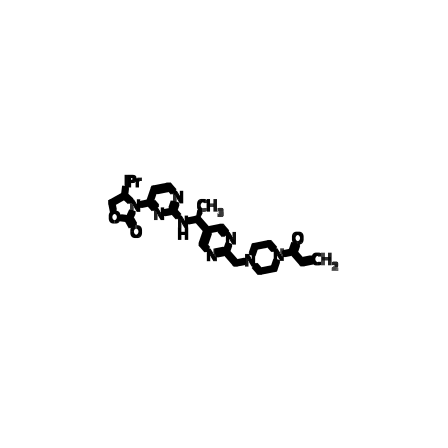 C=CC(=O)N1CCN(Cc2ncc([C@H](C)Nc3nccc(N4C(=O)OCC4C(C)C)n3)cn2)CC1